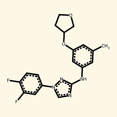 Cc1cc(Nc2ncn(-c3ccc(F)c(F)c3)n2)cc(OC2CCOC2)c1